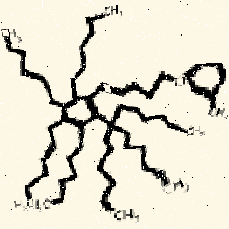 CCCCCCc1c(CCCCCC)c(CCCCCC)c(C(CCCCCC)(CCCCCC)CCCCCC)c(CCCCCC)c1CCCCCC.Cc1ccccc1